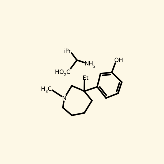 CC(C)C(N)C(=O)O.CCC1(c2cccc(O)c2)CCCCN(C)C1